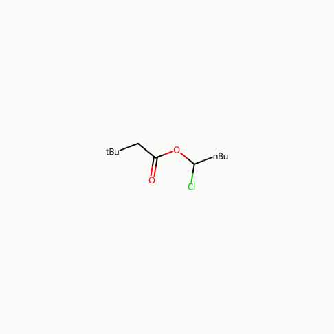 CCCCC(Cl)OC(=O)CC(C)(C)C